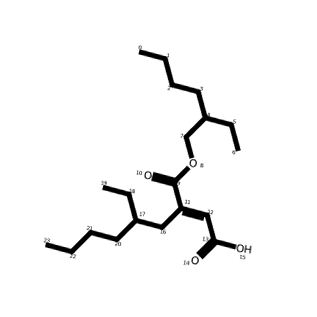 CCCCC(CC)COC(=O)C(=CC(=O)O)CC(CC)CCCC